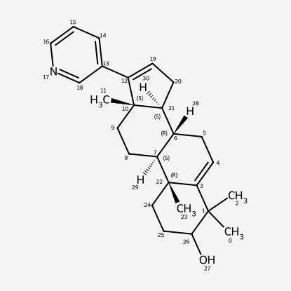 CC1(C)C2=CC[C@@H]3[C@H](CC[C@]4(C)C(c5cccnc5)=CC[C@@H]34)[C@@]2(C)CCC1O